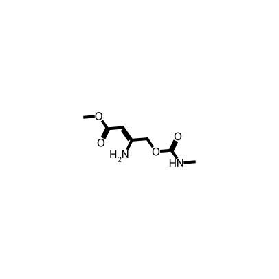 CNC(=O)OCC(N)=CC(=O)OC